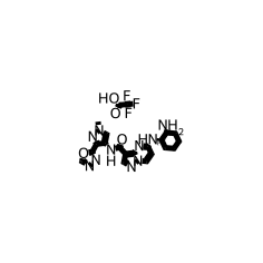 Cn1cc(NC(=O)c2cnn3ccc(N[C@@H]4CCCC[C@@H]4N)nc23)c(-c2nnco2)n1.O=C(O)C(F)(F)F